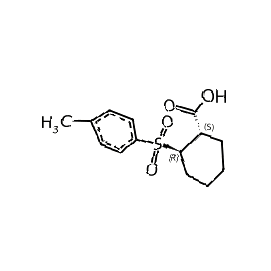 Cc1ccc(S(=O)(=O)[C@@H]2CCCC[C@H]2C(=O)O)cc1